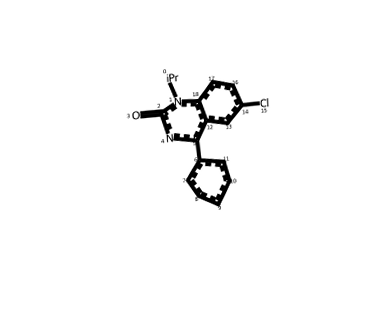 CC(C)n1c(=O)nc(-c2ccccc2)c2cc(Cl)ccc21